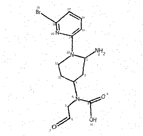 NC1CC(N(CC=O)C(=O)O)CCN1c1cccc(Br)n1